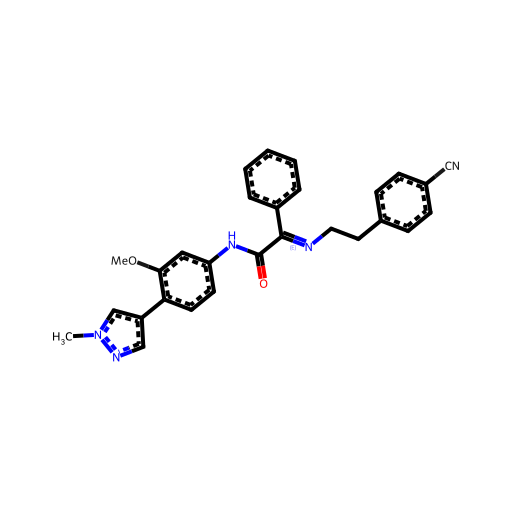 COc1cc(NC(=O)/C(=N/CCc2ccc(C#N)cc2)c2ccccc2)ccc1-c1cnn(C)c1